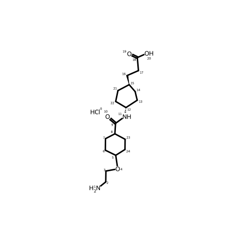 Cl.NCCOC1CCC(C(=O)N[C@H]2CC[C@H](CCC(=O)O)CC2)CC1